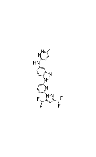 Cc1ccc(Nc2ccc3c(c2)ncn3-c2cc[c]c(-n3nc(C(F)F)cc3C(F)F)n2)nn1